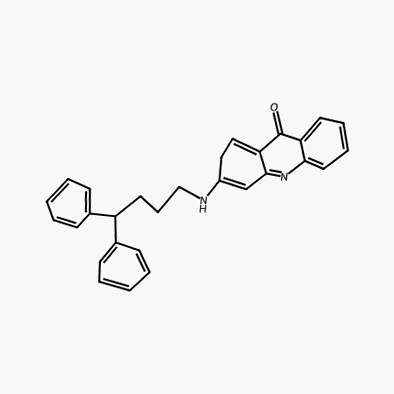 O=C1C2=CCC(NCCCC(c3ccccc3)c3ccccc3)=CC2=Nc2ccccc21